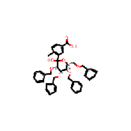 Cc1ccc(C(=O)O)cc1C1(O)O[C@H](COCc2ccccc2)[C@@H](OCc2ccccc2)[C@H](OCc2ccccc2)[C@H]1OCc1ccccc1